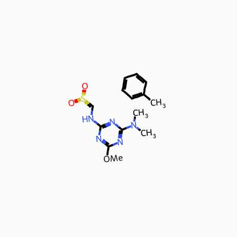 COc1nc(NC=S(=O)=O)nc(N(C)C)n1.Cc1ccccc1